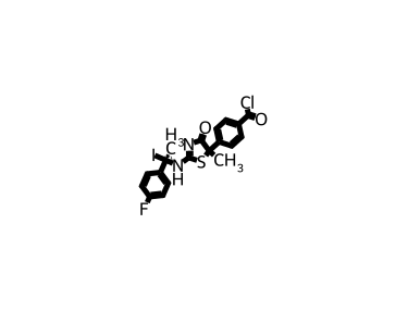 CC1(c2ccc(C(=O)Cl)cc2)SC(N[C@@](C)(I)c2ccc(F)cc2)=NC1=O